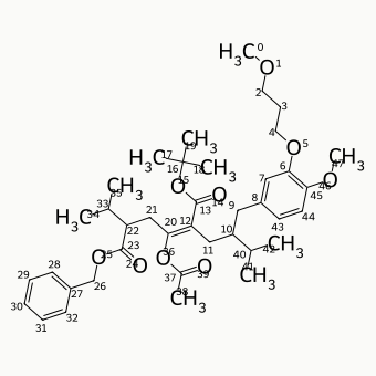 COCCCOc1cc(CC(C/C(C(=O)OC(C)(C)C)=C(/CC(C(=O)OCc2ccccc2)C(C)C)OC(C)=O)C(C)C)ccc1OC